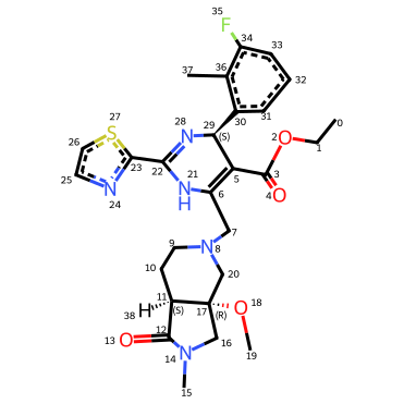 CCOC(=O)C1=C(CN2CC[C@@H]3C(=O)N(C)C[C@]3(OC)C2)NC(c2nccs2)=N[C@H]1c1cccc(F)c1C